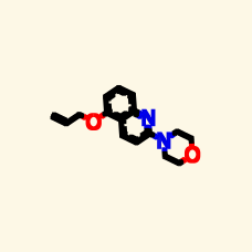 C=CCOc1cccc2nc(N3CCOCC3)ccc12